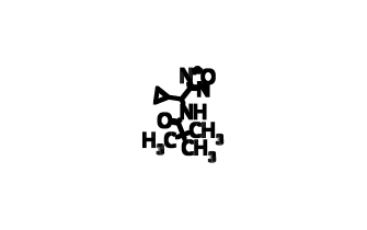 CC(C)(C)C(=O)NC(c1ncon1)C1CC1